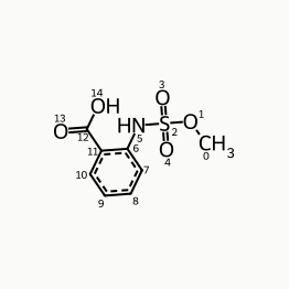 COS(=O)(=O)Nc1ccccc1C(=O)O